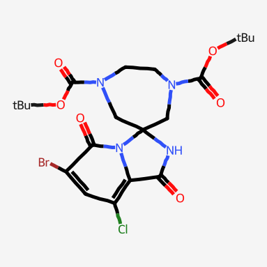 CC(C)(C)OC(=O)N1CCN(C(=O)OC(C)(C)C)CC2(C1)NC(=O)c1c(Cl)cc(Br)c(=O)n12